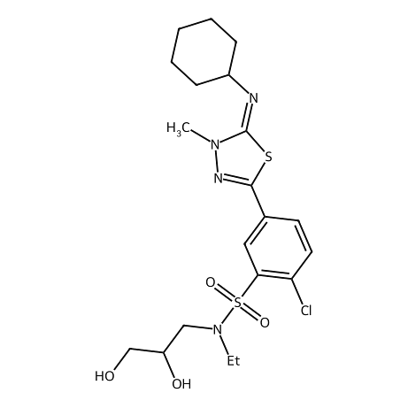 CCN(CC(O)CO)S(=O)(=O)c1cc(-c2nn(C)/c(=N\C3CCCCC3)s2)ccc1Cl